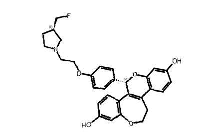 Oc1ccc2c(c1)O[C@@H](c1ccc(OCCN3CC[C@@H](CF)C3)cc1)C1=C2CCOc2cc(O)ccc21